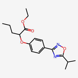 CCCC(Oc1ccc(-c2noc(C(C)C)n2)cc1)C(=O)OCC